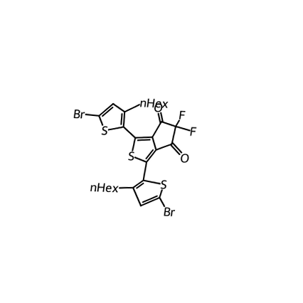 CCCCCCc1cc(Br)sc1-c1sc(-c2sc(Br)cc2CCCCCC)c2c1C(=O)C(F)(F)C2=O